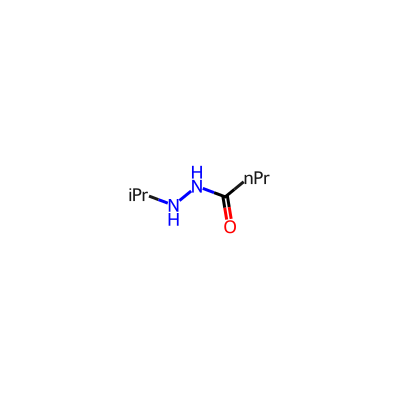 CCCC(=O)NNC(C)C